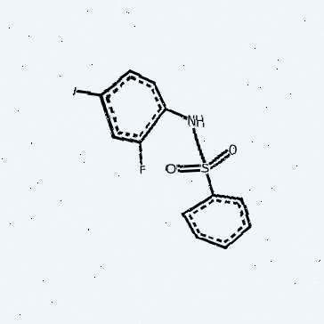 O=S(=O)(Nc1ccc(I)cc1F)c1ccccc1